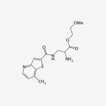 COCCOC(=O)C(N)CNC(=O)c1cc2nccc(C)c2s1